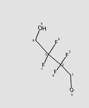 [O]CC(F)(F)C(F)(F)CO